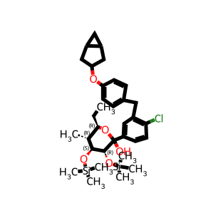 CC[C@H]1OC(O)(c2ccc(Cl)c(Cc3ccc(OC4CC5CC5C4)cc3)c2)[C@H](O[Si](C)(C)C)[C@@H](O[Si](C)(C)C)[C@@H]1C